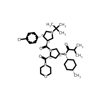 CC(C)C(=O)N([C@H]1C[C@@H](C(=O)N2CCOCC2)N(C(=O)[C@@H]2CN(C(C)(C)C)C[C@H]2c2ccc(Cl)cc2)C1)[C@H]1CC[C@@H](C)CC1